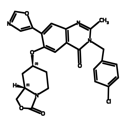 Cc1nc2cc(-c3cnco3)c(O[C@H]3CCN4C(=O)OC[C@@H]4C3)cc2c(=O)n1Cc1ccc(Cl)cc1